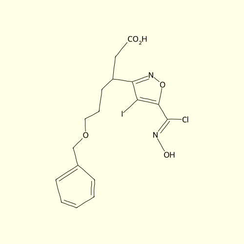 O=C(O)CC(CCCOCc1ccccc1)c1noc(C(Cl)=NO)c1I